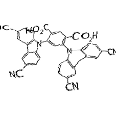 N#Cc1ccc2c(c1)c1cc(C#N)ccc1n2-c1cc(-n2c3ccc(C#N)cc3c3cc(C#N)ccc32)c(C(=O)O)cc1C(=O)O